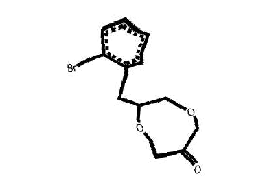 O=C1COCC(Cc2ccccc2Br)OC1